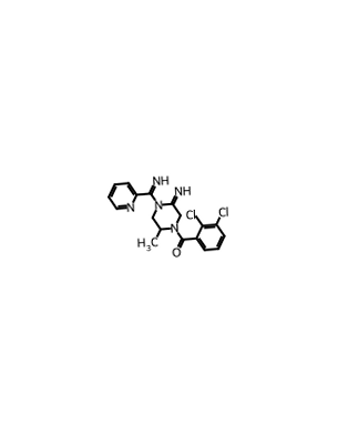 CC1CN(C(=N)c2ccccn2)C(=N)CN1C(=O)c1cccc(Cl)c1Cl